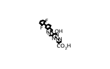 O=C(O)c1cnn(-c2nc(O)c3c(cnn3Cc3ccc(-c4c(F)cccc4F)cc3F)n2)c1